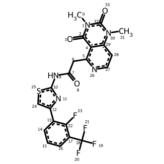 Cn1c(=O)c2c(CC(=O)Nc3nc(-c4cccc(C(F)(F)F)c4F)cs3)nccc2n(C)c1=O